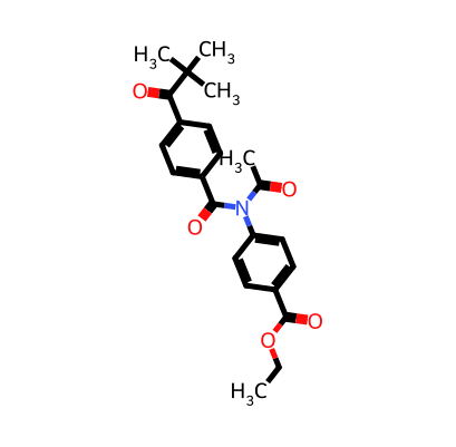 CCOC(=O)c1ccc(N(C(C)=O)C(=O)c2ccc(C(=O)C(C)(C)C)cc2)cc1